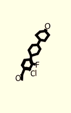 O=C1CCC(C2CCC(c3ccc(C4CO4)c(Cl)c3F)CC2)CC1